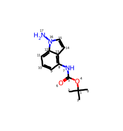 CC(C)(C)OC(=O)Nc1cccc2c1ccn2N